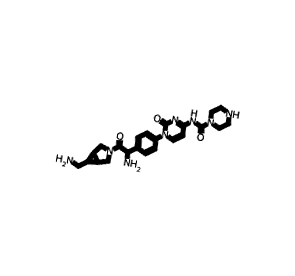 NCC1C2CN(C(=O)C(N)c3ccc(-n4ccc(NC(=O)N5CCNCC5)nc4=O)cc3)CC12